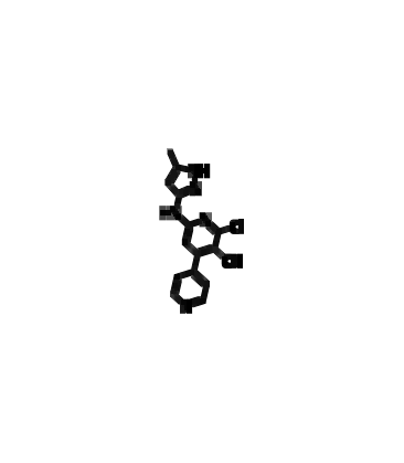 Cc1cc(Nc2cc(-c3ccncc3)c(C#N)c(Cl)n2)n[nH]1